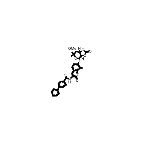 CO[C@@H]1[C@@H]2OC(=O)O[C@@H]2[C@H](Oc2ccc3cc(NC(=O)c4ccc(-c5ccccc5)cc4)c(=O)oc3c2C)OC1(C)C